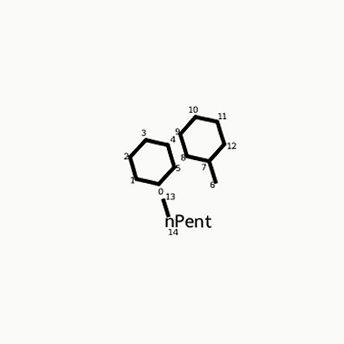 C1CCCCC1.CC1CCCCC1.CCCCCC